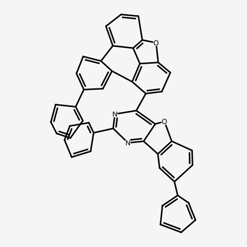 c1ccc(-c2ccc3oc4c(-c5ccc6oc7cccc8c9ccc(-c%10ccccc%10)cc9c5c6c78)nc(-c5ccccc5)nc4c3c2)cc1